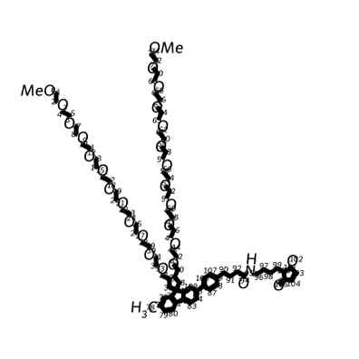 COCCOCCOCCOCCOCCOCCOCCOCCOCCOCCOCCOCCCC1(CCCOCCOCCOCCOCCOCCOCCOCCOCCOCCOCCOCCOC)c2cc(C)ccc2-c2ccc(-c3ccc(CCCC(=O)NCCCCC4C(=O)C=CC4=O)cc3)cc21